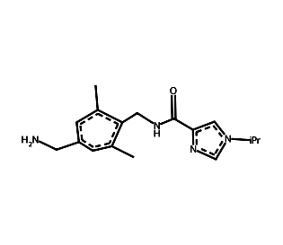 Cc1cc(CN)cc(C)c1CNC(=O)c1cn(C(C)C)cn1